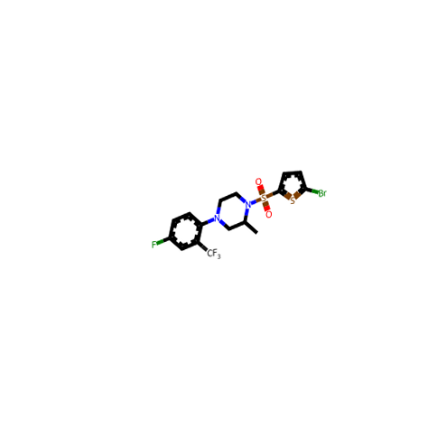 CC1CN(c2ccc(F)cc2C(F)(F)F)CCN1S(=O)(=O)c1ccc(Br)s1